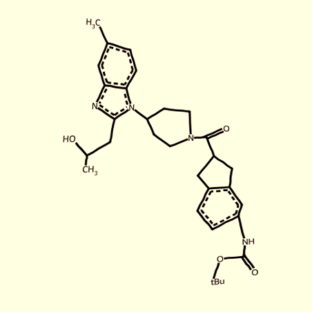 Cc1ccc2c(c1)nc(CC(C)O)n2C1CCN(C(=O)C2Cc3ccc(NC(=O)OC(C)(C)C)cc3C2)CC1